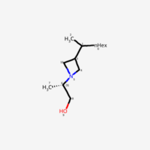 CCCCCCC(C)C1CN([C@@H](C)CO)C1